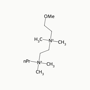 CCC[N+](C)(C)CC[N+](C)(C)CCOC